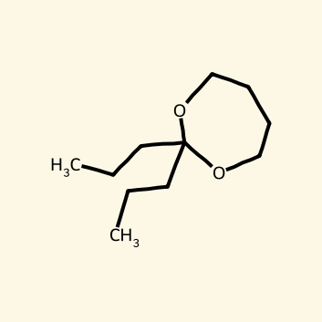 CCCC1(CCC)OCCCCO1